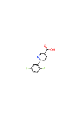 O=C(O)c1ccc(-c2cc(F)ccc2F)nc1